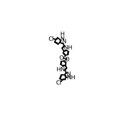 O=S(=O)(c1ccc2[nH]c(-c3n[nH]c4cc(Cl)ccc34)cc2c1)c1ccc2[nH]c(-c3n[nH]c4cc(Cl)ccc34)cc2c1